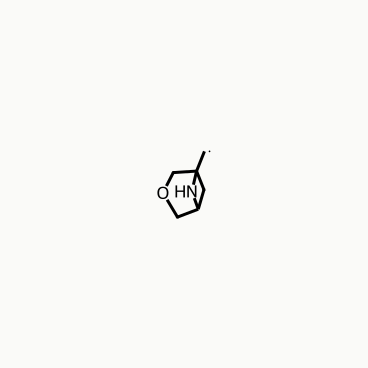 [CH2]C12COCC(C1)N2